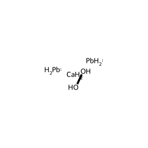 OO.[CaH2].[PbH2].[PbH2]